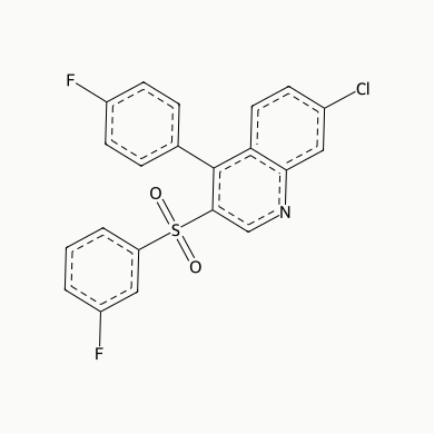 O=S(=O)(c1cccc(F)c1)c1cnc2cc(Cl)ccc2c1-c1ccc(F)cc1